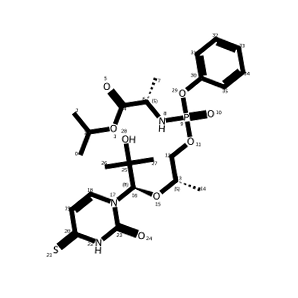 CC(C)OC(=O)[C@H](C)NP(=O)(OC[C@H](C)O[C@@H](n1ccc(=S)[nH]c1=O)C(C)(C)O)Oc1ccccc1